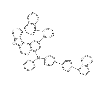 c1cc(-c2ccccc2-c2cccc3ccccc23)cc(N(c2ccc(-c3ccc(-c4cccc5ccccc45)cc3)cc2)c2ccccc2-c2ccc3c(c2)oc2ccccc23)c1